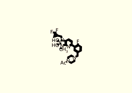 CC(=O)N1CCN(Cc2ccc(F)c(-c3ccc4c(n3)N(C)S(O)(O)N4CC3CC3(F)F)c2)CC1